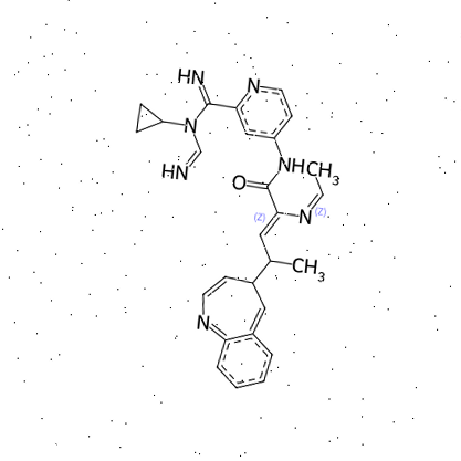 C/C=N\C(=C/C(C)C1C=CN=c2ccccc2=C1)C(=O)Nc1ccnc(C(=N)N(C=N)C2CC2)c1